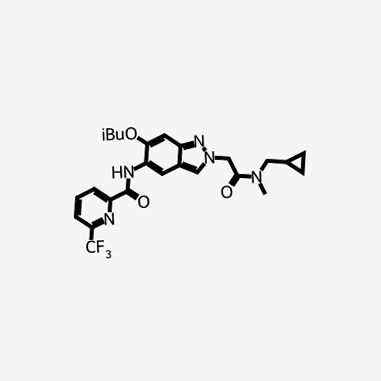 CC(C)COc1cc2nn(CC(=O)N(C)CC3CC3)cc2cc1NC(=O)c1cccc(C(F)(F)F)n1